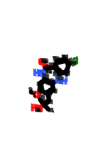 COc1cc2c(cc1CC(C)(C)O)Nc1cc(Cl)ccc1C(=O)N2